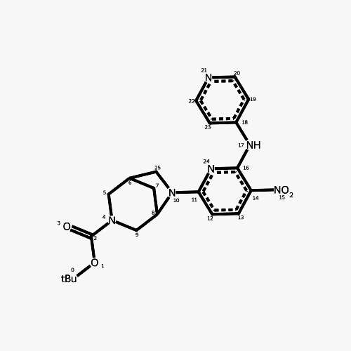 CC(C)(C)OC(=O)N1CC2CC(C1)N(c1ccc([N+](=O)[O-])c(Nc3ccncc3)n1)C2